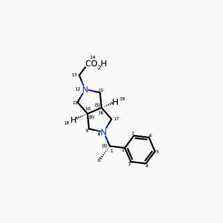 C[C@@H](c1ccccc1)N1C[C@H]2CN(CC(=O)O)C[C@H]2C1